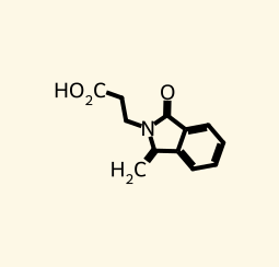 C=C1c2ccccc2C(=O)N1CCC(=O)O